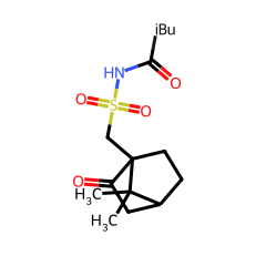 CCC(C)C(=O)NS(=O)(=O)CC12CCC(CC1=O)C2(C)C